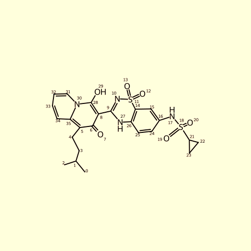 CC(C)CCc1c(=O)c(C2=NS(=O)(=O)c3cc(NS(=O)(=O)C4CC4)ccc3N2)c(O)n2ccccc12